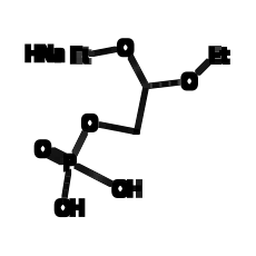 CCOC(COP(=O)(O)O)OCC.[NaH]